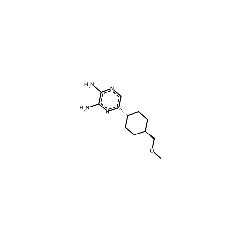 COC[C@H]1CC[C@H](c2cnc(N)c(N)n2)CC1